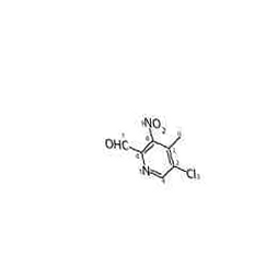 Cc1c(Cl)cnc(C=O)c1[N+](=O)[O-]